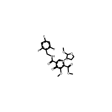 COC(=O)c1c(OC)c(=O)c(C(=O)NCc2c(F)cc(F)cc2F)cn1[C@@H]1CCOC1OC